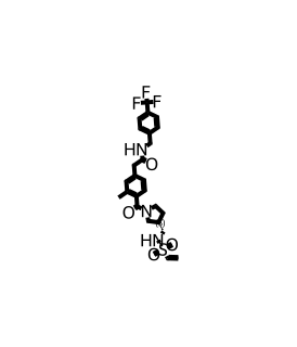 C=CS(=O)(=O)NC[C@H]1CCN(C(=O)c2ccc(CC(=O)NCc3ccc(C(F)(F)F)cc3)cc2C)C1